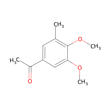 COc1cc(C(C)=O)cc(C)c1OC